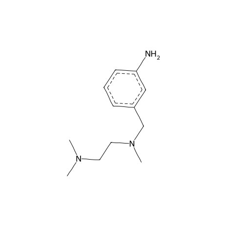 CN(C)CCN(C)Cc1cccc(N)c1